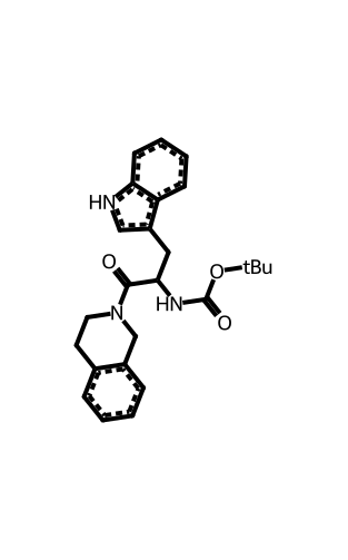 CC(C)(C)OC(=O)NC(Cc1c[nH]c2ccccc12)C(=O)N1CCc2ccccc2C1